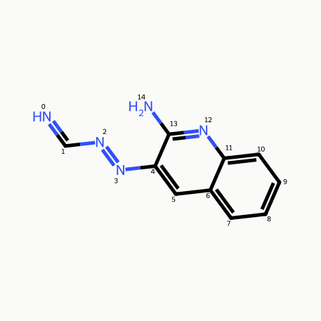 N=CN=Nc1cc2ccccc2nc1N